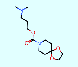 CN(C)CCCOC(=O)N1CCC2(CC1)OCCO2